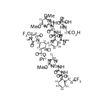 CC(C)OC(=O)c1cc(-n2c(=O)cc(C(F)(F)F)n(C)c2=O)ccc1Cl.COc1cc(OC)nc(NC(=O)NS(=O)(=O)c2ncccc2C(=O)N(C)C)n1.COc1nc(C)nc(NC(=O)NS(=O)(=O)c2ccccc2CCC(F)(F)F)n1.O=C(O)CNCP(=O)(O)O